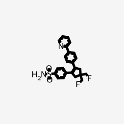 NS(=O)(=O)c1ccc(C2=C(c3ccc(-c4ccccn4)cc3)CC(CF)(CF)C2)cc1